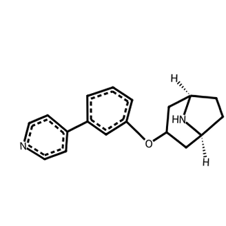 c1cc(OC2C[C@H]3CC[C@@H](C2)N3)cc(-c2ccncc2)c1